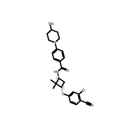 CC1(C)[C@@H](NC(=O)c2ccc(N3CCC(O)CC3)cc2)C[C@@H]1Oc1ccc(C#N)c(Cl)c1